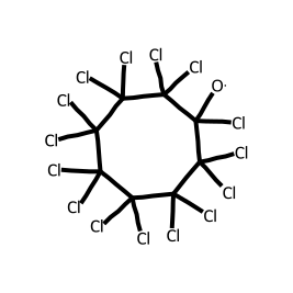 [O]C1(Cl)C(Cl)(Cl)C(Cl)(Cl)C(Cl)(Cl)C(Cl)(Cl)C(Cl)(Cl)C(Cl)(Cl)C1(Cl)Cl